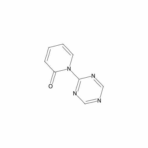 O=c1ccccn1-c1ncncn1